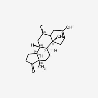 C[C@]12CC=C(O)CC1[C@H](Cl)C[C@@H]1[C@@H]2CC[C@]2(C)C(=O)CC[C@@H]12